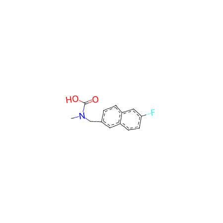 CN(Cc1ccc2cc(F)ccc2c1)C(=O)O